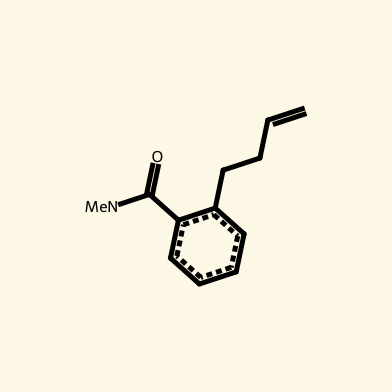 C=CCCc1ccccc1C(=O)NC